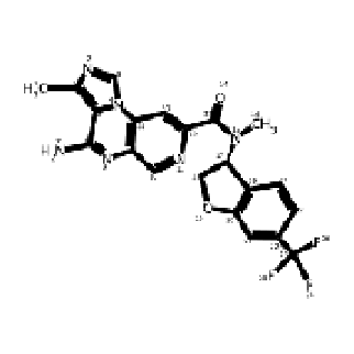 Cc1ncn2c1c(N)nc1cnc(C(=O)N(C)[C@@H]3COc4cc(C(F)(F)F)ccc43)cc12